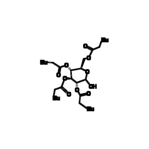 CCC(C)CC(=O)OC[C@H]1OC(O)[C@H](OC(=O)CC(C)CC)[C@@H](OC(=O)CC(C)CC)[C@@H]1OC(=O)CC(C)CC